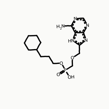 Nc1ncnc2nc(COCP(=O)(O)OCCCC3CCCCC3)[nH]c12